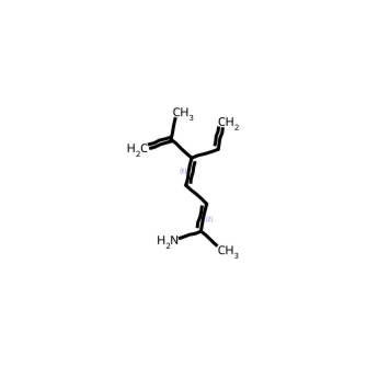 C=C/C(=C\C=C(\C)N)C(=C)C